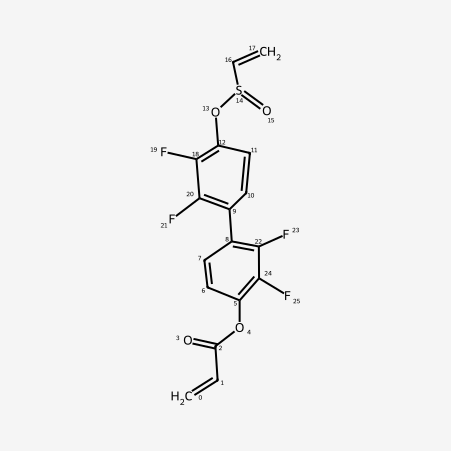 C=CC(=O)Oc1ccc(-c2ccc(OS(=O)C=C)c(F)c2F)c(F)c1F